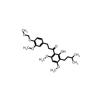 COCOc1ccc(CCC(=O)c2c(OC)cc(OC)c(CCC(C)C)c2O)cc1OC